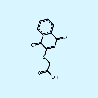 O=C(O)CSC1=CC(=O)c2ccccc2C1=O